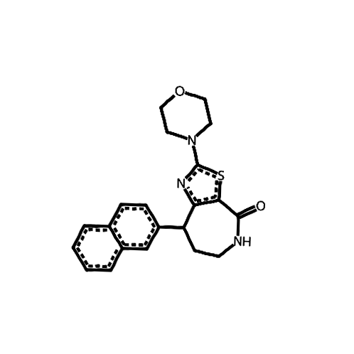 O=C1NCCC(c2ccc3ccccc3c2)c2nc(N3CCOCC3)sc21